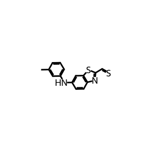 Cc1cccc(Nc2ccc3nc(C=S)sc3c2)c1